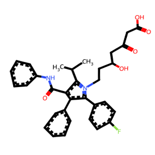 CC(C)c1c(C(=O)Nc2ccccc2)c(-c2ccccc2)c(-c2ccc(F)cc2)n1CCC(O)CC(=O)CC(=O)O